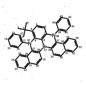 CC(C)(C)c1ccc2c3c1N(c1ccccc1)c1c(ccc4ccccc14)B3c1ccc3ccccc3c1N2c1ccccc1